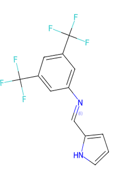 FC(F)(F)c1cc(/N=C/c2ccc[nH]2)cc(C(F)(F)F)c1